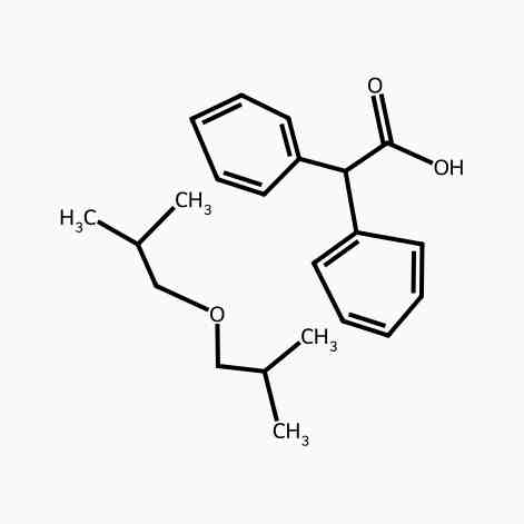 CC(C)COCC(C)C.O=C(O)C(c1ccccc1)c1ccccc1